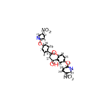 O=[N+]([O-])c1ccc(Oc2ccc(C3CC(O)c4cc(Oc5ccc([N+](=O)[O-])cn5)ccc4O3)cc2)nc1